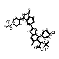 Cc1cc2nc(-c3ccc4c(c3)c(C3CCN(S(C)(=O)=O)CC3)nn4C)sc2c(-c2ccc(Cl)cc2)c1[C@H](OC(C)(C)C)C(=O)O